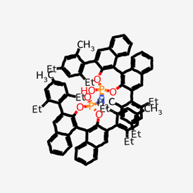 CCc1cc(C)c(-c2cc3ccccc3c3c2OP(O)(=NP2(=O)Oc4c(-c5c(CC)cc(C)cc5CC)cc5ccccc5c4-c4c(c(-c5c(CC)cc(C)cc5CC)cc5ccccc45)O2)Oc2c(-c4c(C)cc(CC)cc4CC)cc4ccccc4c2-3)c(CC)c1